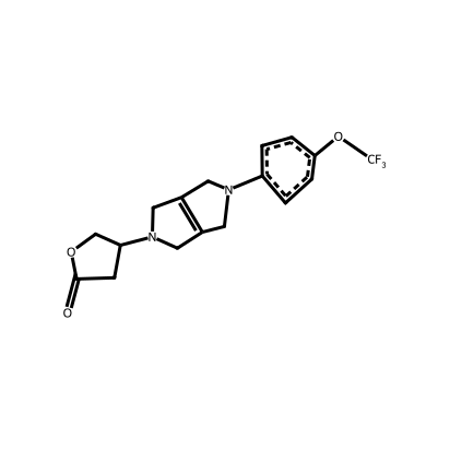 O=C1CC(N2CC3=C(CN(c4ccc(OC(F)(F)F)cc4)C3)C2)CO1